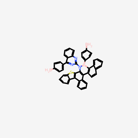 Bc1ccc(B2c3c(ccc4ccccc34)-c3c(c4sc5ccccc5c4c4ccccc34)N2c2nc(-c3ccc(B)cc3)c3ccccc3n2)cc1